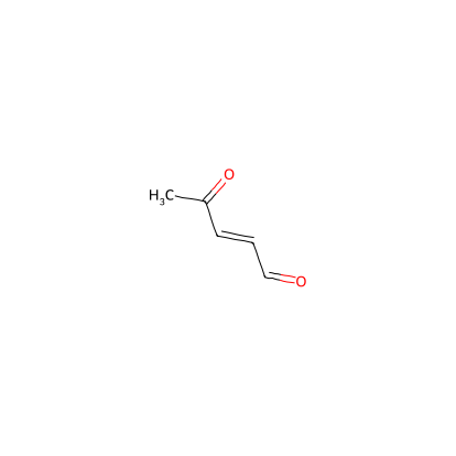 CC(=O)C=CC=O